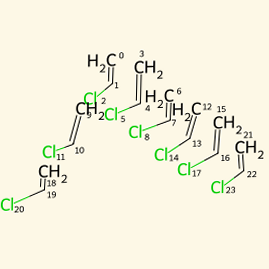 C=CCl.C=CCl.C=CCl.C=CCl.C=CCl.C=CCl.C=CCl.C=CCl